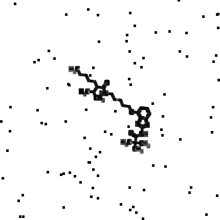 CCCCCC(C(=O)NCCCCCOc1cccc2sc(NC(=O)C(C)(C)C)nc12)C(C)C